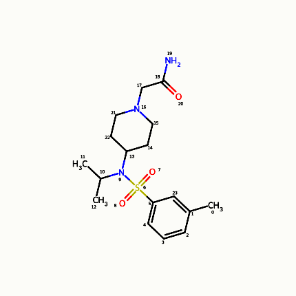 Cc1cccc(S(=O)(=O)N(C(C)C)C2CCN(CC(N)=O)CC2)c1